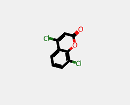 O=c1cc(Cl)c2cccc(Cl)c2o1